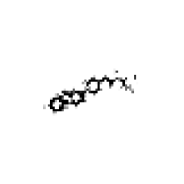 CC(C)NC(=O)CC1CCN(c2ccn3c(n2)nc2ccccc23)CC1